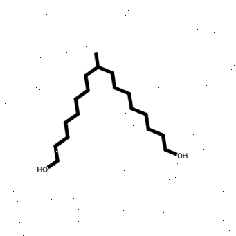 CC(CCCCCCCCO)CCCCCCCCO